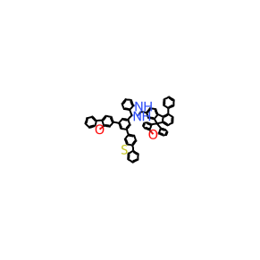 c1ccc(-c2cccc3c2-c2ccc(C4Nc5ccccc5C(c5cc(-c6ccc7c(c6)oc6ccccc67)cc(-c6ccc7c(c6)sc6ccccc67)c5)N4)cc2C32c3ccccc3Oc3ccccc32)cc1